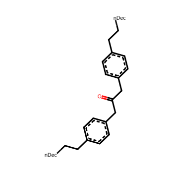 CCCCCCCCCCCCc1ccc(CC(=O)Cc2ccc(CCCCCCCCCCCC)cc2)cc1